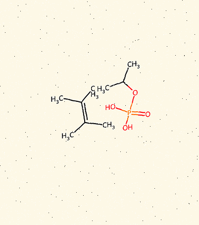 CC(C)=C(C)C.CC(C)OP(=O)(O)O